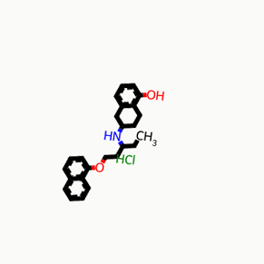 CCC(CCOc1cccc2ccccc12)NC1CCc2c(O)cccc2C1.Cl